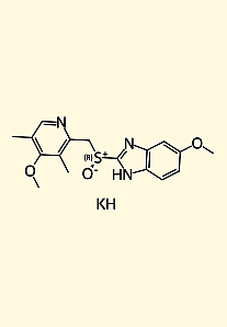 COc1ccc2[nH]c([S@@+]([O-])Cc3ncc(C)c(OC)c3C)nc2c1.[KH]